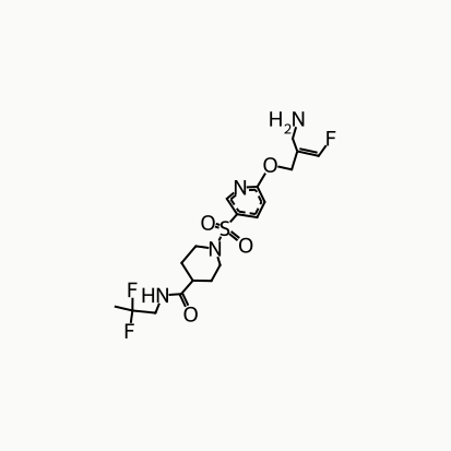 CC(F)(F)CNC(=O)C1CCN(S(=O)(=O)c2ccc(OC/C(=C/F)CN)nc2)CC1